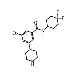 CCc1cc(C(=O)NC2CCC(F)(F)CC2)cc(N2CCNCC2)c1